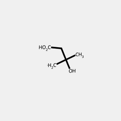 [CH2]C(C)(O)CC(=O)O